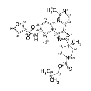 Cc1nccc(-c2sc(C3(C)CCN(C(=O)OCC(C)C)CC3)nc2-c2cccc(NS(=O)(=O)c3ccoc3)c2F)n1